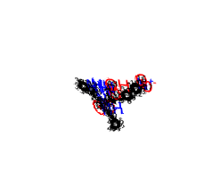 O=C(C[C@@H](CCCc1ccc(-c2ccc([N+](=O)[O-])cc2)cc1)C(=O)N[C@@H](Cc1c[nH]c2ccccc12)C(=O)NCCc1ccccc1)NO